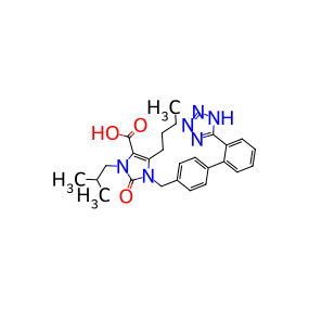 CCCCc1c(C(=O)O)n(CC(C)C)c(=O)n1Cc1ccc(-c2ccccc2-c2nnn[nH]2)cc1